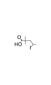 CC(I)CC(C)(C)C(=O)O